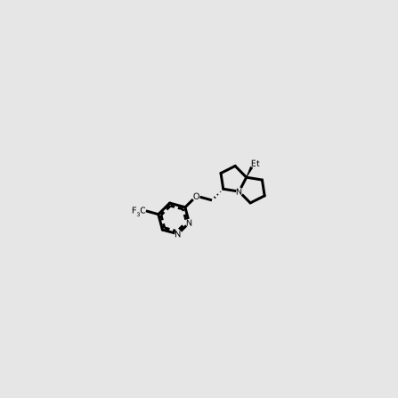 CC[C@@]12CCCN1[C@H](COc1cc(C(F)(F)F)cnn1)CC2